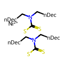 CCCCCCCCCCCN(CCCCCCCCCCC)C(=S)[S-].CCCCCCCCCCCN(CCCCCCCCCCC)C(=S)[S-].[Ni+2]